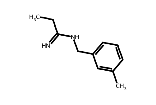 CCC(=N)NCc1cccc(C)c1